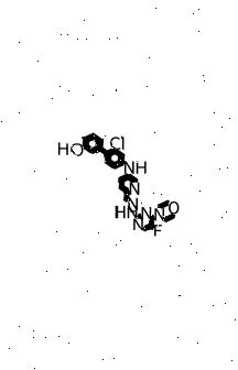 Oc1cccc(-c2ccc(Nc3ccc(/C=N/Nc4ncc(F)c(N5CCOCC5)n4)nc3)cc2Cl)c1